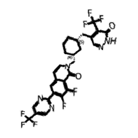 O=c1[nH]ncc(C[C@H]2CCC[C@@H](Cn3ccc4cc(-c5ncc(C(F)(F)F)cn5)c(F)c(F)c4c3=O)C2)c1C(F)(F)F